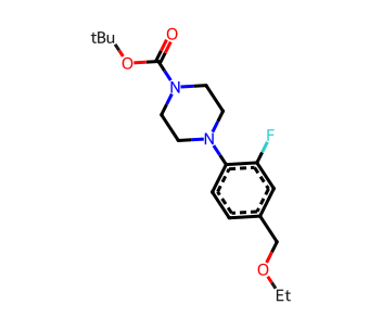 CCOCc1ccc(N2CCN(C(=O)OC(C)(C)C)CC2)c(F)c1